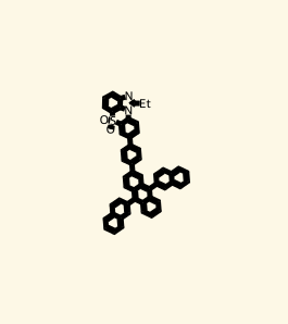 CCc1nc2cccc3c2n1-c1ccc(-c2ccc(-c4ccc5c(-c6ccc7ccccc7c6)c6ccccc6c(-c6ccc7ccccc7c6)c5c4)cc2)cc1S3(=O)=O